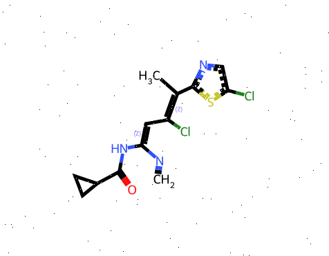 C=N/C(=C\C(Cl)=C(/C)c1ncc(Cl)s1)NC(=O)C1CC1